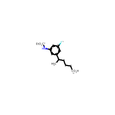 CCOC(=O)Nc1cc(F)cc(C(C)CCCC(=O)O)c1